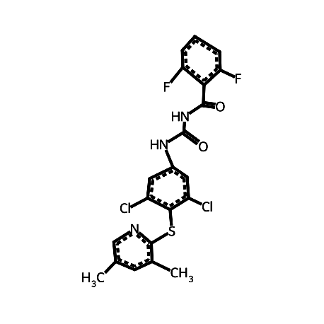 Cc1cnc(Sc2c(Cl)cc(NC(=O)NC(=O)c3c(F)cccc3F)cc2Cl)c(C)c1